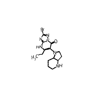 CCc1[nH]c2nc(Br)nn2c(=O)c1N1CCC2NCCCC21